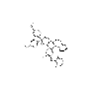 COc1ccc(C2(c3ccc(OC)cc3)C=Cc3c4c(c5cc(Sc6c(C)cccc6C)c(OC)cc5c3O2)-c2ccccc2CC4)cc1